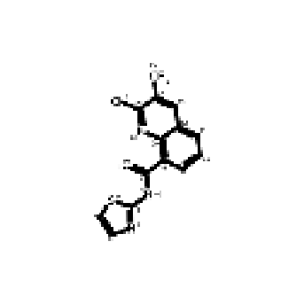 O=C(Nc1nccs1)c1cccc2cc(C(F)(F)F)c(Cl)nc12